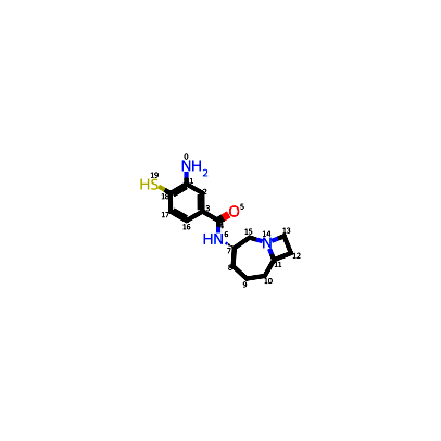 Nc1cc(C(=O)N[C@H]2CCCC3CCN3C2)ccc1S